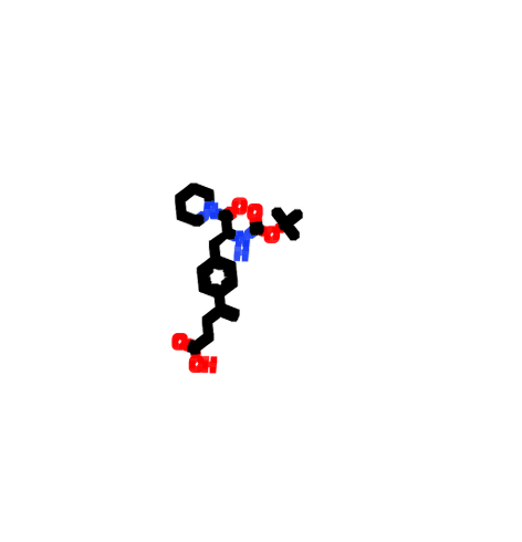 C=C(CCC(=O)O)c1ccc(C[C@H](NC(=O)OC(C)(C)C)C(=O)N2CCCCC2)cc1